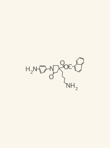 NCCCCC1(C(=O)OCc2cccc3ccccc23)CCN(c2ccc(N)cc2)C(=O)C1